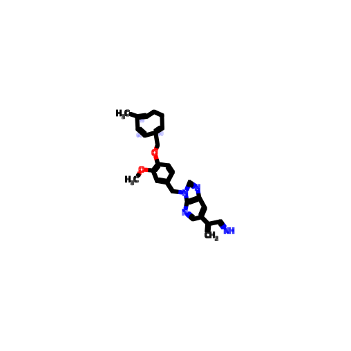 C=C(C=N)c1cnc2c(c1)ncn2Cc1ccc(OCC2=C/CC/C=C(C)/C=C\2)c(OC)c1